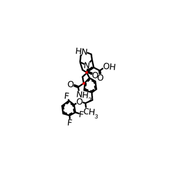 CC(Cc1ccc(C2=C(C(=O)O)C3CNCC(C2)N3C(=O)CCC(N)=O)cc1)Oc1c(F)ccc(F)c1F